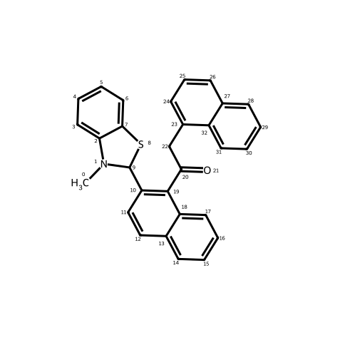 CN1c2ccccc2SC1c1ccc2ccccc2c1C(=O)Cc1cccc2ccccc12